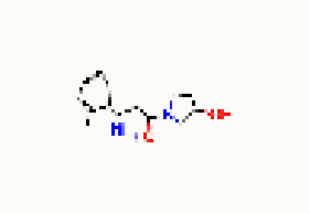 Cc1ccccc1[C@@H](N)CC(=O)N1CC[C@@H](O)C1